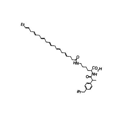 CCC=CCC=CCC=CCC=CCC=CCC=CCCC(=O)NCCCCC(NC(=O)C(C)c1ccc(CC(C)C)cc1)C(=O)O